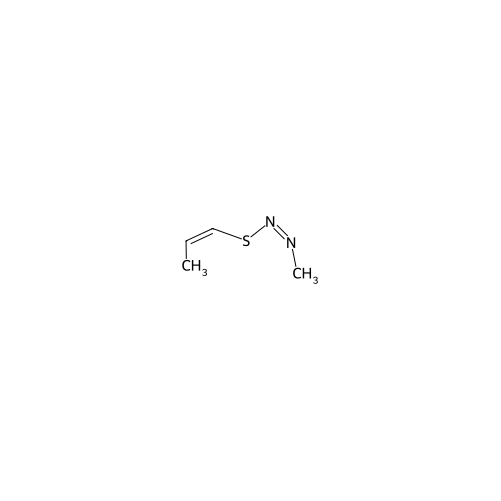 C/C=C\S/N=N\C